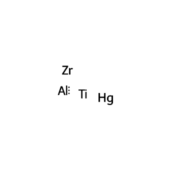 [Al].[Hg].[Ti].[Zr]